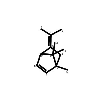 CC(C)=C1CC2(C)C=CC1C2(C)C